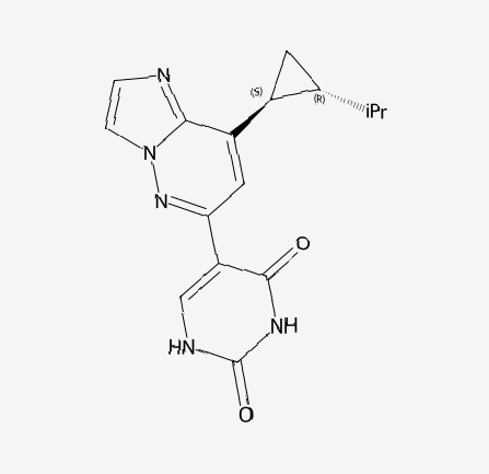 CC(C)[C@H]1C[C@@H]1c1cc(-c2c[nH]c(=O)[nH]c2=O)nn2ccnc12